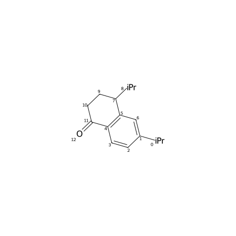 CC(C)c1ccc2c(c1)C(C(C)C)CCC2=O